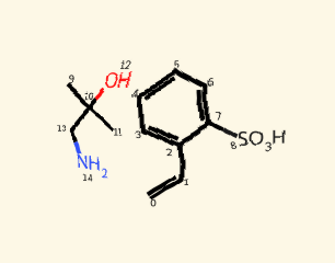 C=Cc1ccccc1S(=O)(=O)O.CC(C)(O)CN